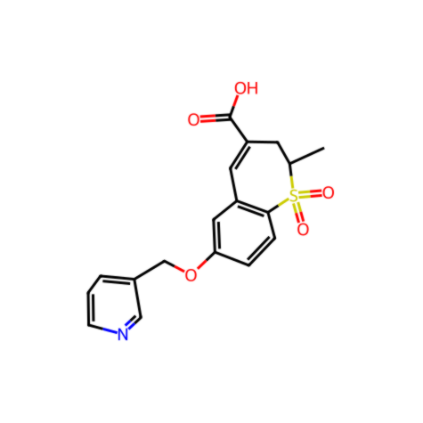 CC1CC(C(=O)O)=Cc2cc(OCc3cccnc3)ccc2S1(=O)=O